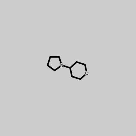 [CH]1CCN(C2CCOCC2)C1